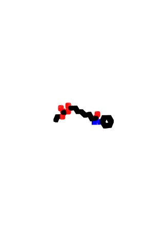 CCOC(=O)OC(=O)CCCCCCC(=O)Nc1ccccc1